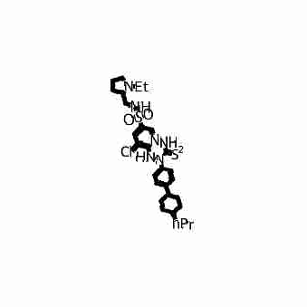 CCCC1CCC(c2ccc(N(Nc3ncc(S(=O)(=O)NCC4CCCN4CC)cc3Cl)C(N)=S)cc2)CC1